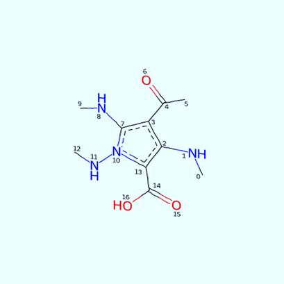 CNc1c(C(C)=O)c(NC)n(NC)c1C(=O)O